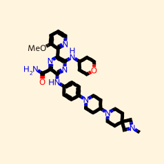 COc1cccnc1-c1nc(C(N)=O)c(Nc2ccc(N3CCC(N4CCC5(CC4)CN(C)C5)CC3)cc2)nc1NC1CCOCC1